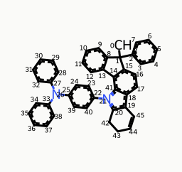 CC1(c2ccccc2)c2ccccc2-c2c1ccc1c3c(n(-c4ccc(N(c5ccccc5)c5ccccc5)cc4)c21)CCC=C3